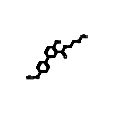 CCCCOCCOC(=O)c1cc(-c2ccc(OCCCC)cc2)ccc1O